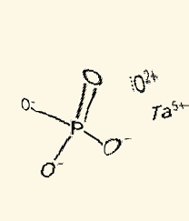 O=P([O-])([O-])[O-].[O+2].[Ta+5]